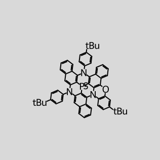 CC(C)(C)c1ccc(N2c3cc4ccccc4c4c3P3(=S)c5c2cc2ccccc2c5N(c2ccc(C(C)(C)C)cc2)c2c3c3c(c5ccccc25)Oc2cc(C(C)(C)C)ccc2N34)cc1